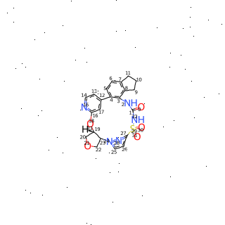 O=C1Nc2c(ccc3c2CCC3)-c2ccnc(c2)O[C@H]2COCC2n2ccc(n2)S(=O)(=O)N1